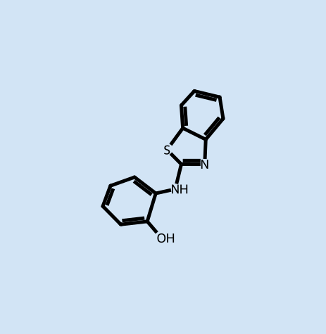 Oc1ccccc1Nc1nc2ccccc2s1